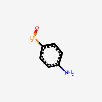 Nc1ccc([PH2]=O)cc1